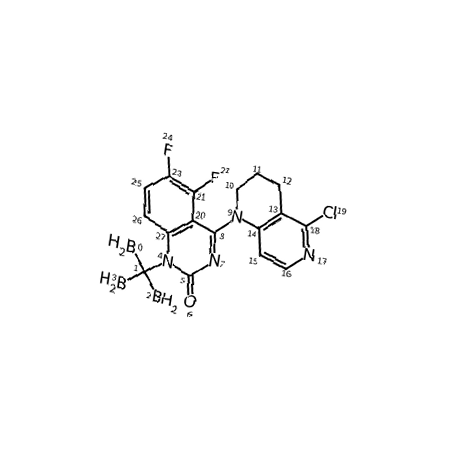 BC(B)(B)n1c(=O)nc(N2CCCc3c2ccnc3Cl)c2c(F)c(F)ccc21